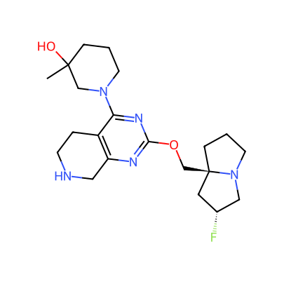 CC1(O)CCCN(c2nc(OC[C@@]34CCCN3C[C@H](F)C4)nc3c2CCNC3)C1